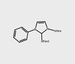 CCCCCCN1C=CN(c2ccccc2)C1CCCCC